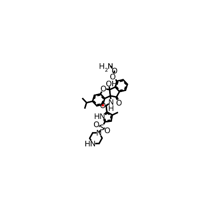 Cc1cc(S(=O)(=O)N2CCNCC2)[nH]c1C(=O)NC12C(=O)c3cccc(OON)c3C1(O)Oc1cc(C(C)C)ccc12